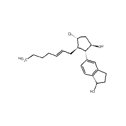 O=C(O)CCCC=CC[C@@H]1[C@@H](c2ccc3c(c2)CCC3O)[C@H](O)C[C@H]1Cl